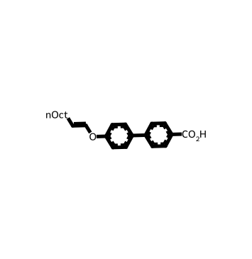 CCCCCCCCC=COc1ccc(-c2ccc(C(=O)O)cc2)cc1